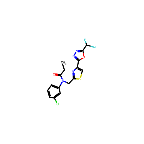 CCC(=O)N(Cc1nc(-c2nnc(C(F)F)o2)cs1)c1cccc(Cl)c1